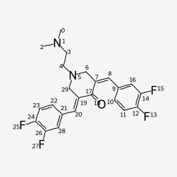 CN(C)CCN1CC(=Cc2ccc(F)c(F)c2)C(=O)C(=Cc2ccc(F)c(F)c2)C1